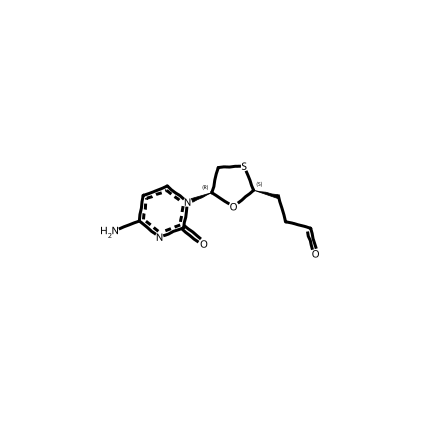 Nc1ccn([C@H]2CS[C@@H](CCC=O)O2)c(=O)n1